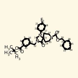 CC(C)(C)OC(=O)c1cccc(CN2CN(c3ccc(F)cc3)C3(CCN(C(=O)OCc4ccccc4)CC3)C2=O)c1